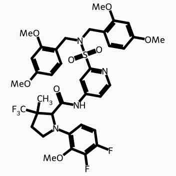 COc1ccc(CN(Cc2ccc(OC)cc2OC)S(=O)(=O)c2cc(NC(=O)C3N(c4ccc(F)c(F)c4OC)CCC3(C)C(F)(F)F)ccn2)c(OC)c1